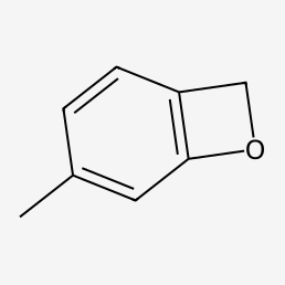 Cc1ccc2c(c1)OC2